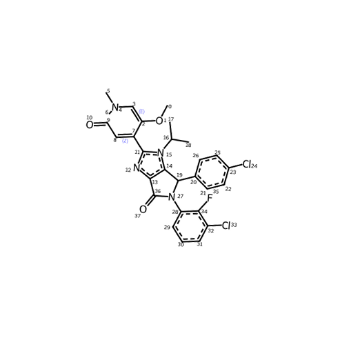 COC(=C/N(C)C)/C(=C\C=O)c1nc2c(n1C(C)C)C(c1ccc(Cl)cc1)N(c1cccc(Cl)c1F)C2=O